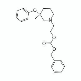 CC1(Oc2ccccc2)CCCN(CCOC(=O)OCc2ccccc2)C1